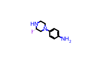 Nc1ccc(N2CCN[C@@H](I)C2)cc1